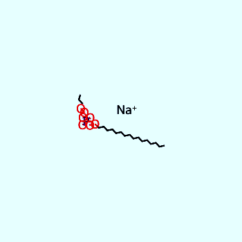 CCCCCCCCCCCCCCCCOOP(=O)([O-])OOOCCC.[Na+]